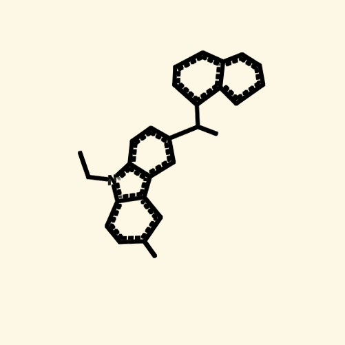 CCn1c2ccc(C)cc2c2cc(C(C)c3cccc4ccccc34)ccc21